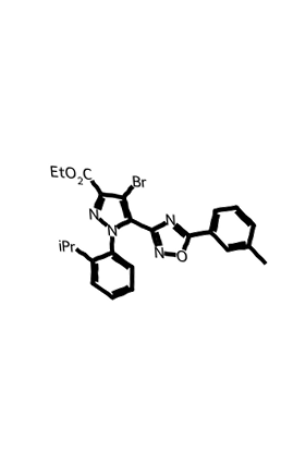 CCOC(=O)c1nn(-c2ccccc2C(C)C)c(-c2noc(-c3cccc(C)c3)n2)c1Br